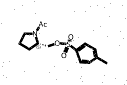 CC(=O)N1CCC[C@H]1COS(=O)(=O)c1ccc(C)cc1